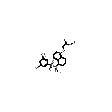 CC(=O)c1cc(C(F)(F)F)cc(S(=O)(=O)N(C)C2CCCc3c(OCC(=O)OC(C)(C)C)cccc32)c1